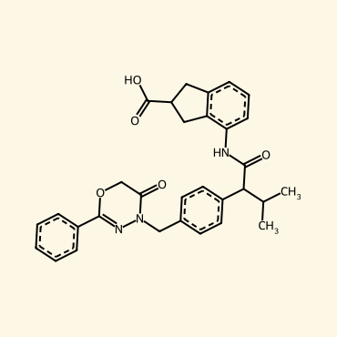 CC(C)C(C(=O)Nc1cccc2c1CC(C(=O)O)C2)c1ccc(CN2N=C(c3ccccc3)OCC2=O)cc1